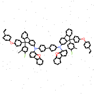 C=Cc1ccc(Oc2ccc(C3(c4ccc(F)c(C)c4)c4ccccc4-c4ccc(N(c5ccc(-c6ccc(N(c7ccc8c(c7)C(c7ccc(Oc9ccc(C=C)cc9)cc7)(c7ccc(F)c(C)c7)c7ccccc7-8)c7cccc8c7oc7ccccc78)cc6)cc5)c5cccc6c5oc5ccccc56)cc43)cc2)cc1